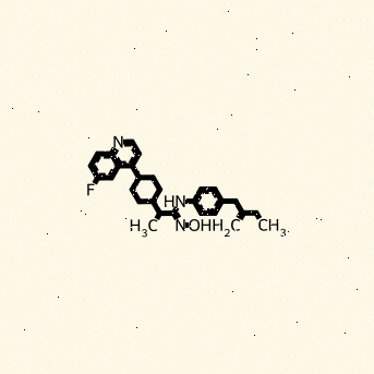 C=C(CC)Cc1ccc(N/C(=N\O)C(C)C2CCC(c3ccnc4ccc(F)cc34)CC2)cc1